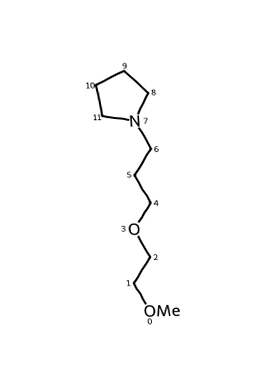 COCCOCCCN1CCCC1